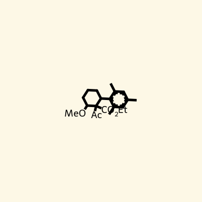 CCOC(=O)C1(C(C)=O)C(OC)CCCC1c1c(C)cc(C)cc1C